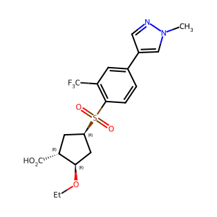 CCO[C@@H]1C[C@H](S(=O)(=O)c2ccc(-c3cnn(C)c3)cc2C(F)(F)F)C[C@H]1C(=O)O